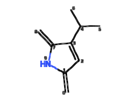 C=c1cc(C(C)C)c(=C)[nH]1